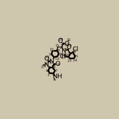 CNc1ccc2c(c1)c(=O)n(-c1ccc(C[C@H](NC(=O)c3c(Cl)cccc3Cl)C(=O)OC)cc1)c(=O)n2C